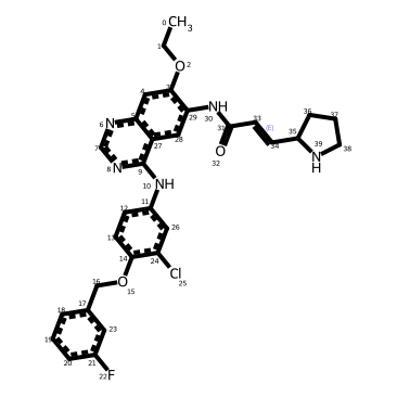 CCOc1cc2ncnc(Nc3ccc(OCc4cccc(F)c4)c(Cl)c3)c2cc1NC(=O)/C=C/C1CCCN1